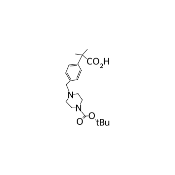 CC(C)(C)OC(=O)N1CCN(Cc2ccc(C(C)(C)C(=O)O)cc2)CC1